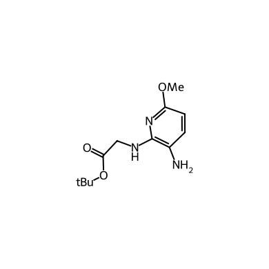 COc1ccc(N)c(NCC(=O)OC(C)(C)C)n1